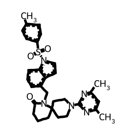 Cc1ccc(S(=O)(=O)n2ccc3c(CN4C(=O)CCCC45CCN(c4nc(C)cc(C)n4)CC5)cccc32)cc1